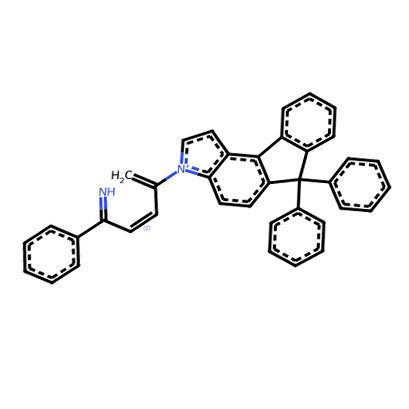 C=C(/C=C\C(=N)c1ccccc1)n1ccc2c3c(ccc21)C(c1ccccc1)(c1ccccc1)c1ccccc1-3